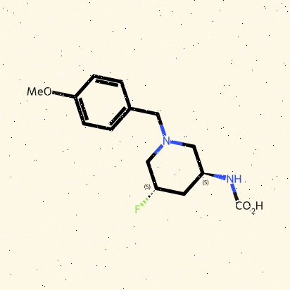 COc1ccc(CN2C[C@@H](F)C[C@H](NC(=O)O)C2)cc1